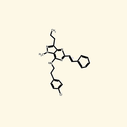 CCCc1nn(C)c2c(NCCc3ccc(Cl)cc3)nc(/C=C/c3ccccc3)nc12